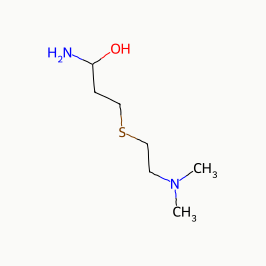 CN(C)CCSCCC(N)O